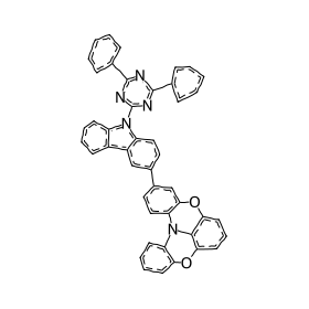 c1ccc(-c2nc(-c3ccccc3)nc(-n3c4ccccc4c4cc(-c5ccc6c(c5)Oc5cccc7c5N6c5ccccc5O7)ccc43)n2)cc1